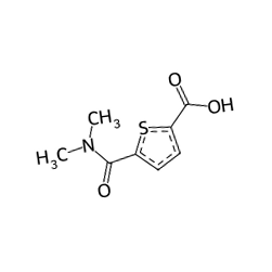 CN(C)C(=O)c1ccc(C(=O)O)s1